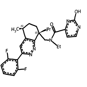 CCN(C[C@@]1(C(C)C)CC[C@H](C)c2cc(-c3c(F)cccc3F)nnc21)C(=O)c1ccnc(O)n1